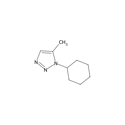 Cc1cnnn1C1CCCCC1